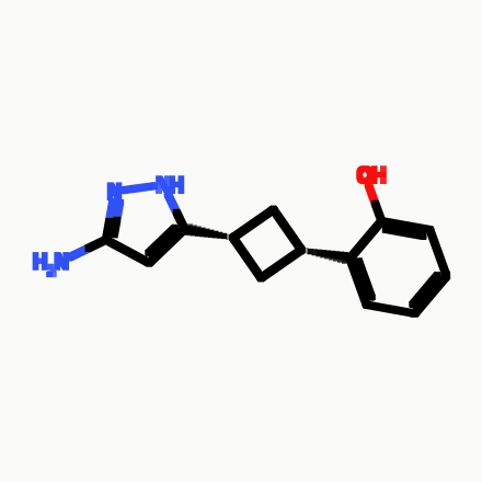 Nc1cc([C@H]2C[C@@H](c3ccccc3O)C2)[nH]n1